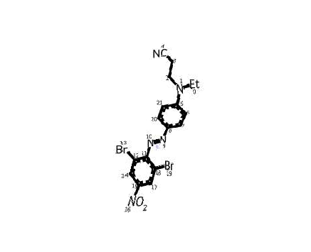 CCN(CCC#N)c1ccc(/N=N/c2c(Br)cc([N+](=O)[O-])cc2Br)cc1